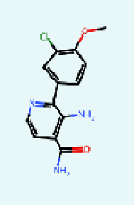 COc1ccc(-c2nccc(C(N)=O)c2N)cc1Cl